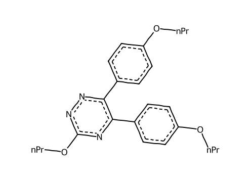 CCCOc1ccc(-c2nnc(OCCC)nc2-c2ccc(OCCC)cc2)cc1